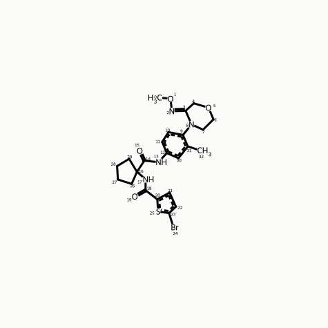 CON=C1COCCN1c1ccc(NC(=O)C2(NC(=O)c3ccc(Br)s3)CCCC2)cc1C